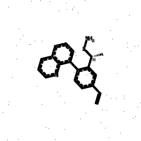 C=Cc1ccc(-c2cccc3cccnc23)c([C@@H](C)SN)c1